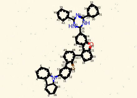 C1=CC2c3ccccc3N(c3ccc4sc5c(-c6cccc7oc8cc(C9NC(c%10ccccc%10)=NC(c%10ccccc%10)N9)ccc8c67)cccc5c4c3)C2C=C1